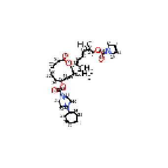 C/C(=C\C=C\[C@@H](C)COC(=O)N1CCCC1)[C@H]1OC(=O)CCCCC[C@@H](OC(=O)N2CCN(C3CCCCCC3)CC2)/C=C/[C@@H]1C